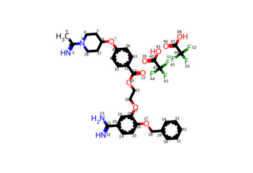 CC(=N)N1CCC(Oc2ccc(C(=O)OCCOc3cc(C(=N)N)ccc3OCc3ccccc3)cc2)CC1.O=C(O)C(F)(F)F.O=C(O)C(F)(F)F